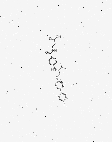 CC(C)C(COc1ccc(-c2ccc(F)cc2)nn1)Nc1ccc(C(=O)NCCC(=O)O)cc1